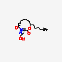 CC(C)CCCCC1CCCCCC(=O)N[C@@H](CCO)C(=O)O1